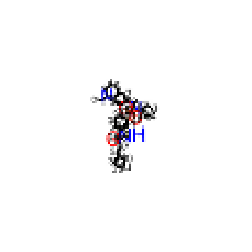 CCN1CCCc2cc(CN(C3CCCC3)S(=O)(=O)c3cccc(NC(=O)CCC4CCCC4)c3)ccc21